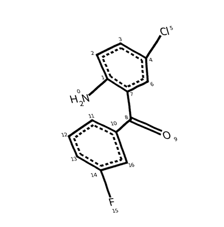 Nc1ccc(Cl)cc1C(=O)c1cccc(F)c1